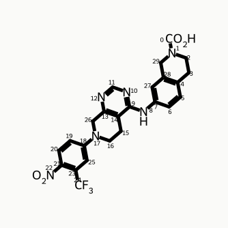 O=C(O)N1CCc2ccc(Nc3ncnc4c3CCN(c3ccc([N+](=O)[O-])c(C(F)(F)F)c3)C4)cc2C1